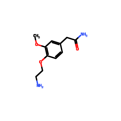 COc1cc(CC(N)=O)ccc1OCCN